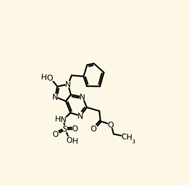 CCOC(=O)Cc1nc(NS(=O)(=O)O)c2nc(O)n(Cc3ccccc3)c2n1